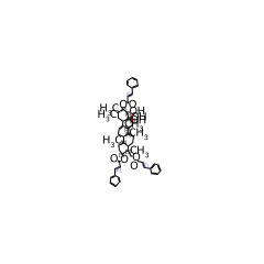 CC1(C)CC2C3=CCC4[C@@]5(C)CC[C@H](OC(=O)/C=C/c6ccccc6)[C@](C)(COC(=O)/C=C/c6ccccc6)C5CC[C@@]4(C)[C@]3(C)C[C@@H](O)[C@@]2(CO)[C@@H](O)[C@@H]1OC(=O)/C=C/c1ccccc1